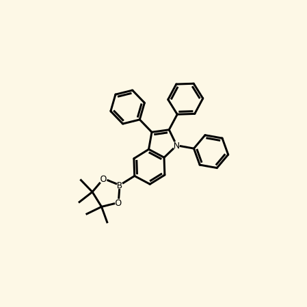 CC1(C)OB(c2ccc3c(c2)c(-c2ccccc2)c(-c2ccccc2)n3-c2ccccc2)OC1(C)C